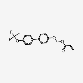 C=CC(=O)OCOc1ccc(-c2ccc(OC(F)(F)F)cc2)cc1